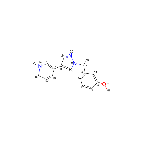 COc1cccc(C(C)n2cc(C3=CN(C)CC=C3)cn2)c1